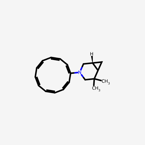 CC1(C)CN(C2=C/C=C\C=C/C=C\C=C/C=C\2)C[C@@H]2CC21